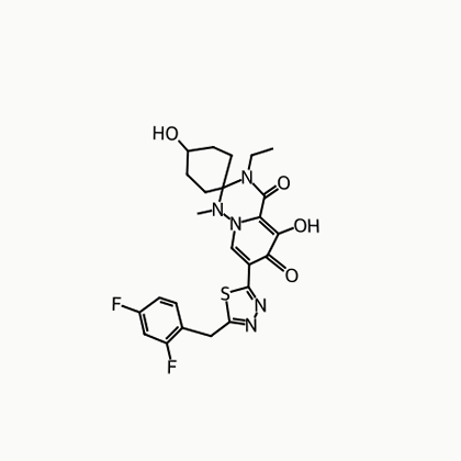 CCN1C(=O)c2c(O)c(=O)c(-c3nnc(Cc4ccc(F)cc4F)s3)cn2N(C)C12CCC(O)CC2